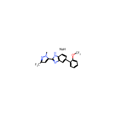 Cn1nc(C(F)(F)F)cc1-c1nc2cc(-c3ccccc3OC(F)(F)F)ccc2[nH]1.[NaH]